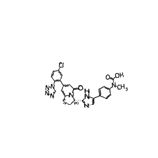 CN(C(=O)O)c1ccc(-c2cnc([C@@H]3CSc4cc(-c5cc(Cl)ccc5-n5cnnn5)cc(=O)n43)[nH]2)cc1